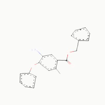 Cc1cc(Oc2ccccc2)c(N)cc1C(=O)OCc1ccccc1